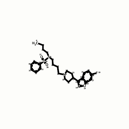 CCCCN(CCCCN1CCC(c2noc3cc(F)ccc23)CC1)S(=O)(=O)c1ccccc1